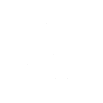 CC(C)C[C@H](NC(=O)[C@H](CC(N)=O)NC(=O)[C@@H](N)Cc1ccc(O)cc1)C(=O)N[C@@H](Cc1ccc(O)cc1)C(=O)N[C@@H](CCCNC(=N)N)C(=O)N[C@H](C(=O)N[C@@H](CCC(N)=O)C(=O)N[C@@H](CO)C(N)=O)C(C)C